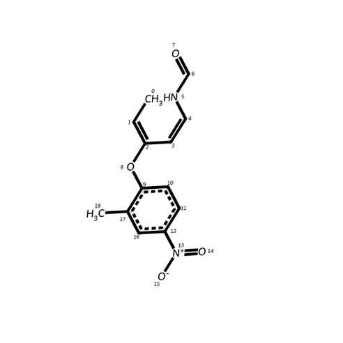 C/C=C(\C=C/NC=O)Oc1ccc([N+](=O)[O-])cc1C